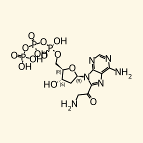 NCC(=O)c1nc2c(N)ncnc2n1[C@H]1C[C@H](O)[C@@H](COP(=O)(O)OP(=O)(O)OP(=O)(O)O)O1